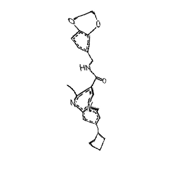 Cc1nc2cc(C3CCC3)ccn2c1C(=O)NCc1ccc2c(c1)OCCO2